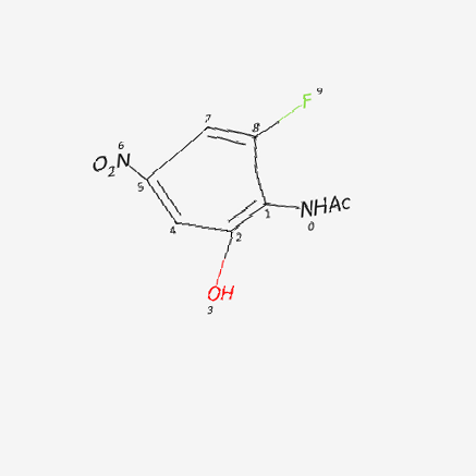 CC(=O)Nc1c(O)cc([N+](=O)[O-])cc1F